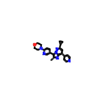 Cc1nc2c(-c3ccncc3)cc(C3CC3)nn2c1-c1ccc(N2CCOCC2)nc1